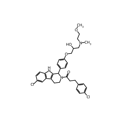 COCCN(C)CC(O)COc1ccc(C2c3[nH]c4ccc(Cl)cc4c3CCN2C(=O)CCc2ccc(Cl)cc2)cc1